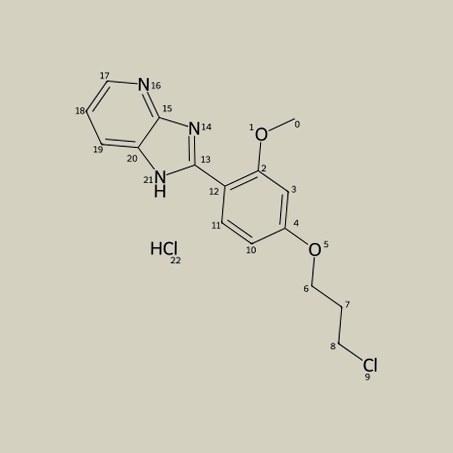 COc1cc(OCCCCl)ccc1-c1nc2ncccc2[nH]1.Cl